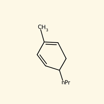 CCCC1C=CC(C)=CC1